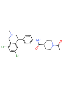 CC(=O)N1CCC(C(=O)Nc2ccc(C3CN(C)Cc4c(Cl)cc(Cl)cc43)cc2)CC1